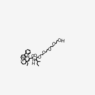 CCC(C)[C@H](NC(=O)C1=C[C@]2(CC)CCCN3CCc4c(n1c1ccccc41)[C@@H]32)C(=O)OCCOCCOCCOCCO